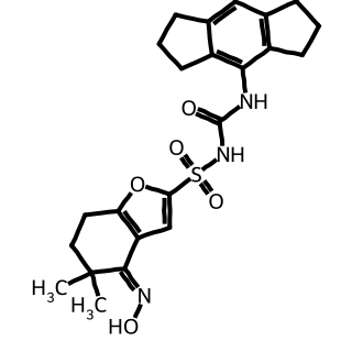 CC1(C)CCc2oc(S(=O)(=O)NC(=O)Nc3c4c(cc5c3CCC5)CCC4)cc2C1=NO